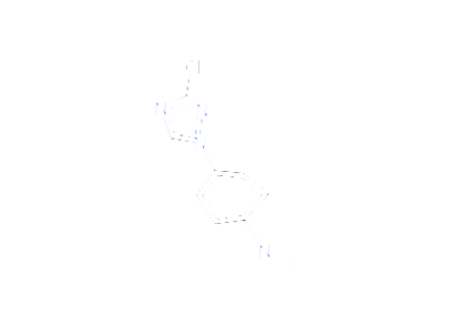 Nc1ccc(-n2cnc(Cl)n2)cc1